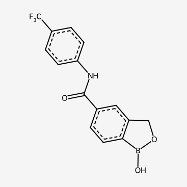 O=C(Nc1ccc(C(F)(F)F)cc1)c1ccc2c(c1)COB2O